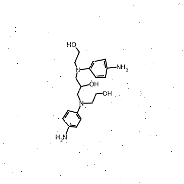 Nc1ccc(N(CCO)CC(O)CN(CCO)c2ccc(N)cc2)cc1